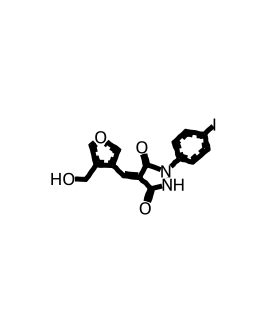 O=C1NN(c2ccc(I)cc2)C(=O)/C1=C\c1cocc1CO